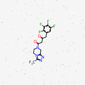 O=C(CC(=O)N1CCn2c(nnc2C(F)(F)F)C1)Cc1cc(F)c(F)c(F)c1F